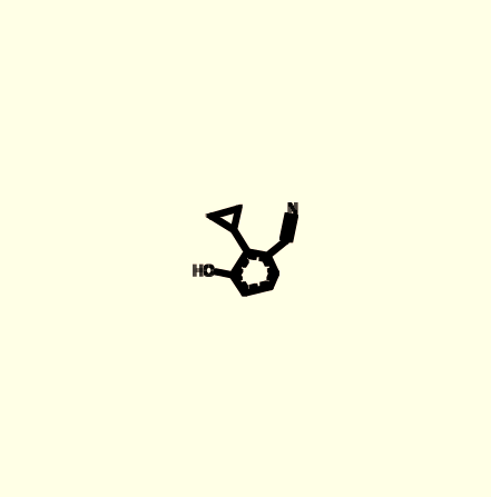 N#Cc1cccc(O)c1C1CC1